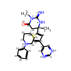 CN1C(=N)N[C@](C)(c2cc(-c3cncnc3)cs2)[C@H](C2CCN(c3ccccc3)CC2)C1=O